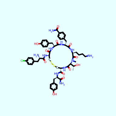 C[C@@H](O)[C@H]1C(=O)N[C@H](C(=O)N[C@H](Cc2ccc(O)cc2)C(N)=O)CSSC[C@@H](NC(=O)[C@@H](N)Cc2ccc(Cl)cc2)C(=O)N[C@@H](Cc2ccc(O)cc2)C(=O)N[C@H](Cc2ccc(C(N)=O)cc2)C(=O)N[C@@H](CCCCN)C(=O)N1C